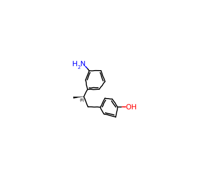 C[C@H](Cc1ccc(O)cc1)c1cccc(N)c1